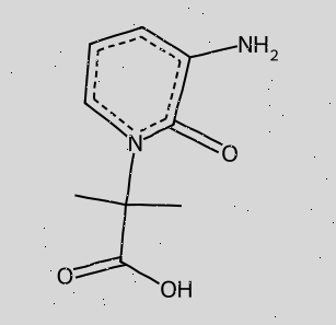 CC(C)(C(=O)O)n1cccc(N)c1=O